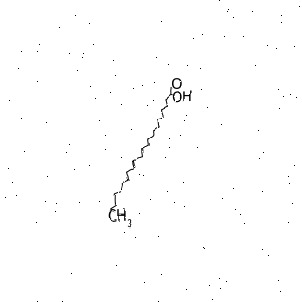 CCCCCCCCC=CCCCCCCCCCCCCC(O)C=O